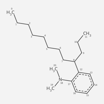 CCCCCCCCC(CCC)c1ccccc1N(C)C